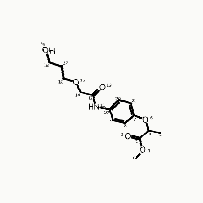 COC(=O)C(C)Oc1ccc(NC(=O)COCCCO)cc1